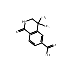 CC1(C)CNC(=O)c2ccc(C(=O)O)cc21